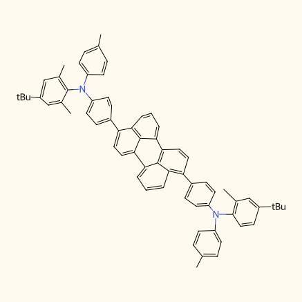 Cc1ccc(N(c2ccc(-c3ccc4c5cccc6c(-c7ccc(N(c8ccc(C)cc8)c8c(C)cc(C(C)(C)C)cc8C)cc7)ccc(c7cccc3c74)c65)cc2)c2ccc(C(C)(C)C)cc2C)cc1